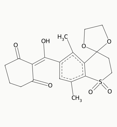 Cc1cc(C(O)=C2C(=O)CCCC2=O)c(C)c2c1S(=O)(=O)CCC21OCCO1